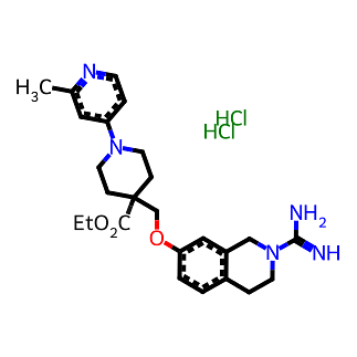 CCOC(=O)C1(COc2ccc3c(c2)CN(C(=N)N)CC3)CCN(c2ccnc(C)c2)CC1.Cl.Cl